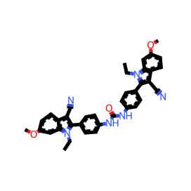 CCn1c(-c2ccc(NC(=O)Nc3ccc(-c4c(C#N)c5ccc(OC)cc5n4CC)cc3)cc2)c(C#N)c2ccc(OC)cc21